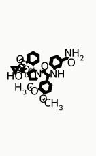 COc1ccc(C(Nc2cccc(C(N)=O)c2)C(=O)N2CC[C@H](C(=O)O)[C@@H]2c2ccccc2S(=O)(=O)C2CC2)cc1OC